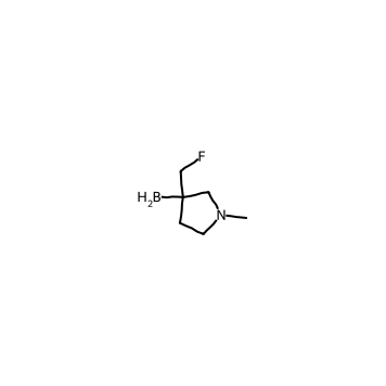 BC1(CF)CCN(C)C1